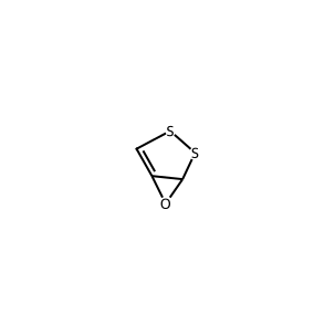 C1=C2OC2SS1